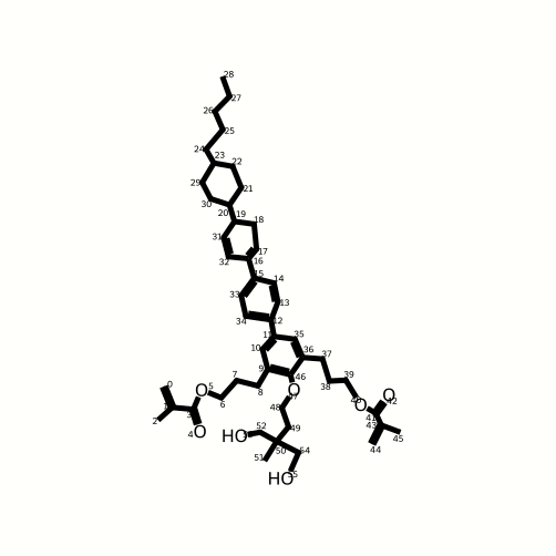 C=C(C)C(=O)OCCCc1cc(-c2ccc(C3=CCC(C4CCC(CCCCC)CC4)C=C3)cc2)cc(CCCOC(=O)C(=C)C)c1OCCC(C)(CO)CO